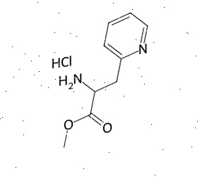 COC(=O)C(N)Cc1ccccn1.Cl